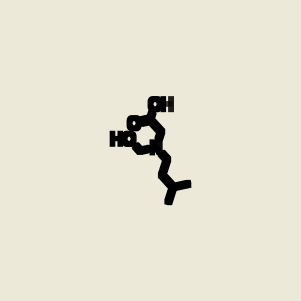 CC(C)CCN(CO)CC(=O)O